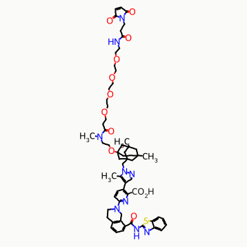 Cc1c(-c2ccc(N3CCc4cccc(C(=O)Nc5nc6ccccc6s5)c4C3)nc2C(=O)O)cnn1CC12CC3(C)CC(C)(C1)CC(OCCN(C)C(=O)CCOCCOCCOCCOCCNC(=O)CCN1C(=O)C=CC1=O)(C3)C2